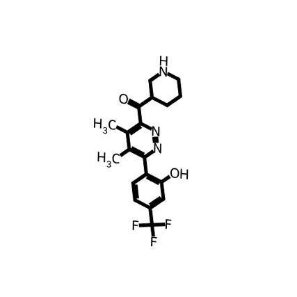 Cc1c(C(=O)C2CCCNC2)nnc(-c2ccc(C(F)(F)F)cc2O)c1C